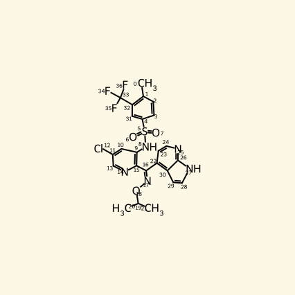 Cc1ccc(S(=O)(=O)Nc2cc(Cl)cnc2C(=NOC(C)C)c2ccnc3[nH]ccc23)cc1C(F)(F)F